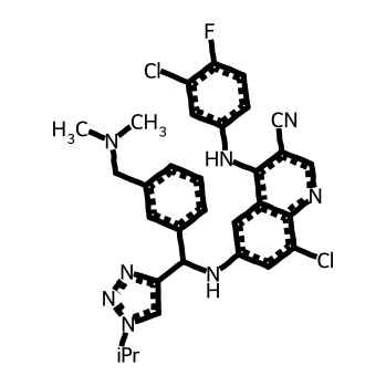 CC(C)n1cc(C(Nc2cc(Cl)c3ncc(C#N)c(Nc4ccc(F)c(Cl)c4)c3c2)c2cccc(CN(C)C)c2)nn1